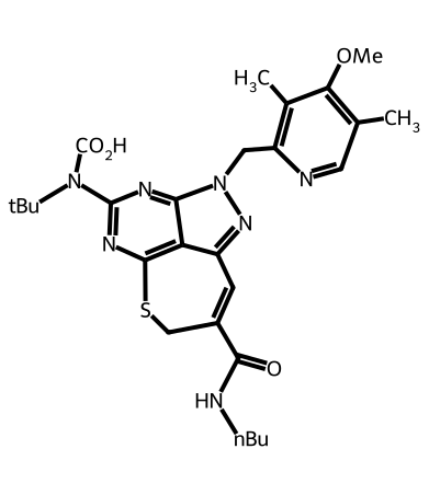 CCCCNC(=O)C1=Cc2nn(Cc3ncc(C)c(OC)c3C)c3nc(N(C(=O)O)C(C)(C)C)nc(c23)SC1